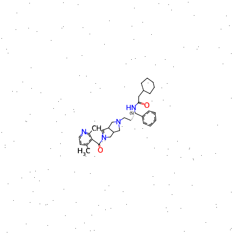 Cc1ccnc(C)c1C(=O)N1CC2CN(CC[C@H](NC(=O)CC3CCCCC3)c3ccccc3)CC2C1